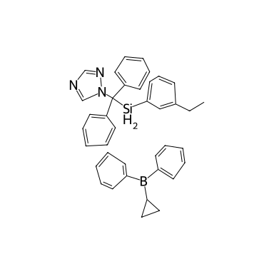 CCc1cccc([SiH2]C(c2ccccc2)(c2ccccc2)n2cncn2)c1.c1ccc(B(c2ccccc2)C2CC2)cc1